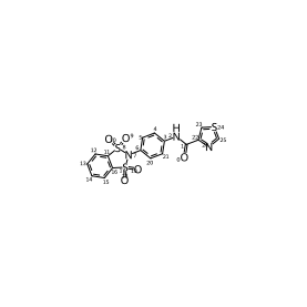 O=C(Nc1ccc(N2S(=O)(=O)c3ccccc3S2(=O)=O)cc1)c1cscn1